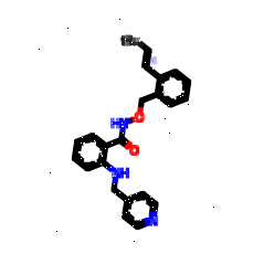 CC(C)(C)/C=C/c1ccccc1CONC(=O)c1ccccc1NCc1ccncc1